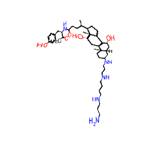 COC(=O)[C@@H](Cc1ccc(O)cc1)NC(=O)CC[C@@H](C)[C@H]1CCC2C3C(C[C@H](O)[C@@]21C)[C@@]1(C)CC[C@H](NCCCNCCCCNCCCN)C[C@H]1C[C@H]3O